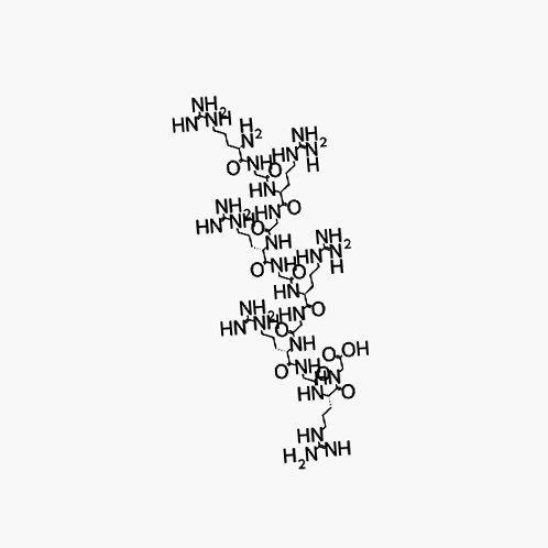 N=C(N)NCCC[C@H](NC(=O)CNC(=O)[C@H](CCCNC(=N)N)NC(=O)CNC(=O)[C@H](CCCNC(=N)N)NC(=O)CNC(=O)[C@H](CCCNC(=N)N)NC(=O)CNC(=O)[C@H](CCCNC(=N)N)NC(=O)CNC(=O)[C@@H](N)CCCNC(=N)N)C(=O)NCC(=O)O